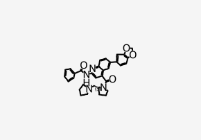 O=C(Nc1cc(C(=O)N2CCC[C@H]2CN2CCCC2)c2cc(-c3ccc4c(c3)OCO4)ccc2n1)c1ccccc1